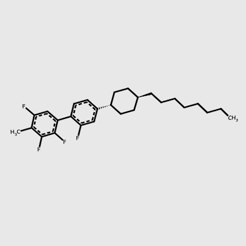 CCCCCCCC[C@H]1CC[C@H](c2ccc(-c3cc(F)c(C)c(F)c3F)c(F)c2)CC1